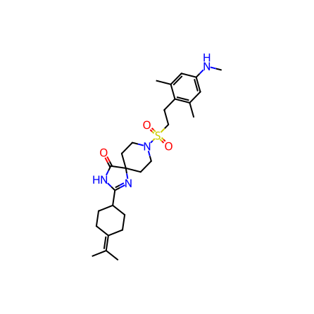 CNc1cc(C)c(CCS(=O)(=O)N2CCC3(CC2)N=C(C2CCC(=C(C)C)CC2)NC3=O)c(C)c1